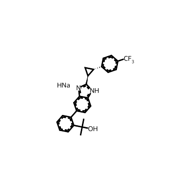 CC(C)(O)c1ccccc1-c1ccc2[nH]c([C@H]3C[C@@H]3c3ccc(C(F)(F)F)cc3)nc2c1.[NaH]